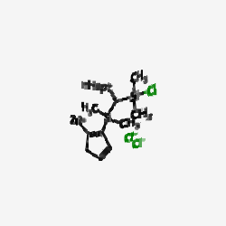 CCCCCCCC([Si](C)(C)Cl)[Si](C)(C)C1=[C]([Zr+2])CC=C1.[Cl-].[Cl-]